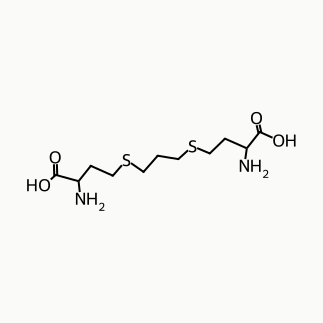 NC(CCSCCCSCCC(N)C(=O)O)C(=O)O